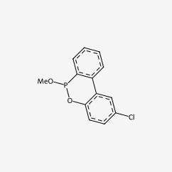 COP1Oc2ccc(Cl)cc2-c2ccccc21